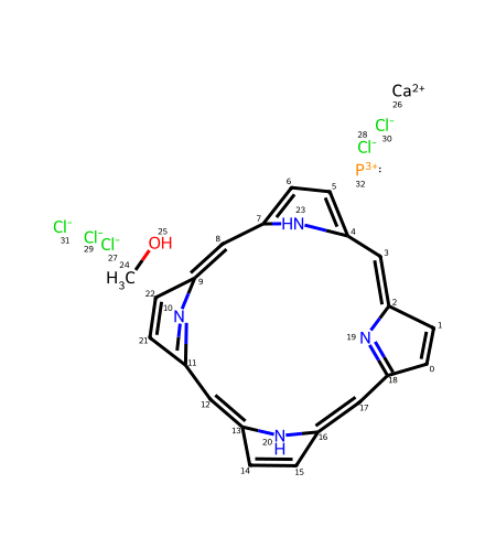 C1=Cc2cc3ccc(cc4nc(cc5ccc(cc1n2)[nH]5)C=C4)[nH]3.CO.[Ca+2].[Cl-].[Cl-].[Cl-].[Cl-].[Cl-].[P+3]